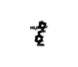 COc1ccc(CNc2ncccc2C(=O)O)cc1